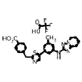 Cc1cc(Nc2nc3ccccn3n2)cc(-c2cnc(Cc3ccc(C(=O)O)cc3)s2)c1.O=C(O)C(F)(F)F